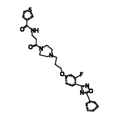 O=C(NCCC(=O)N1CCN(CCCOc2ccc(-c3noc(-c4ccccc4)n3)c(F)c2)CC1)c1ccsc1